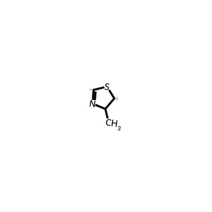 CC1[C]S[C]=N1